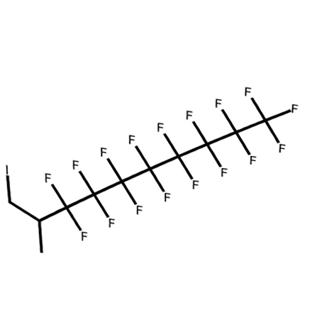 CC(CI)C(F)(F)C(F)(F)C(F)(F)C(F)(F)C(F)(F)C(F)(F)C(F)(F)C(F)(F)F